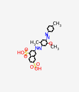 COc1cc(N=Nc2cc(S(=O)(=O)O)c3ccc(S(=O)(=O)O)cc3c2)c(C)cc1N=Nc1ccc(C)cc1